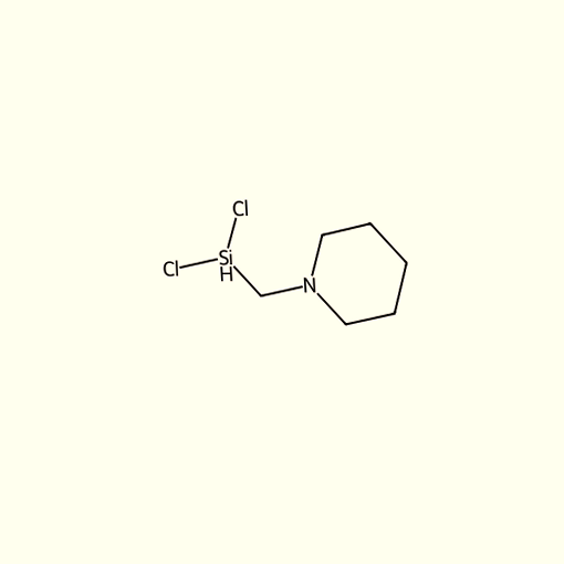 Cl[SiH](Cl)CN1CCCCC1